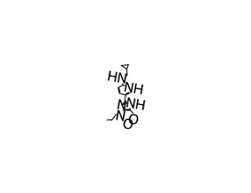 CCCN1COOCc2[nH]c(C3=CNC(NCC4CC4)C=C3)nc21